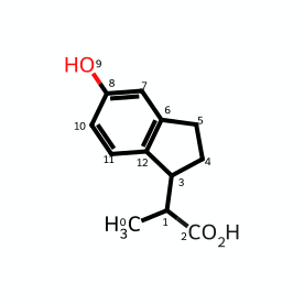 CC(C(=O)O)C1CCc2cc(O)ccc21